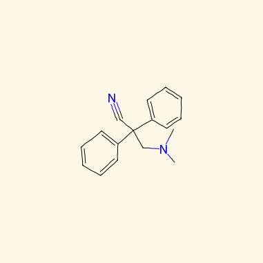 CN(C)CC(C#N)(c1ccccc1)c1ccccc1